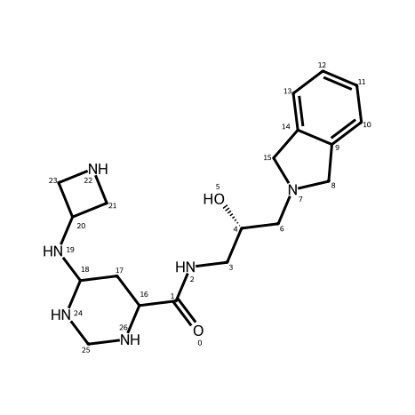 O=C(NC[C@H](O)CN1Cc2ccccc2C1)C1CC(NC2CNC2)NCN1